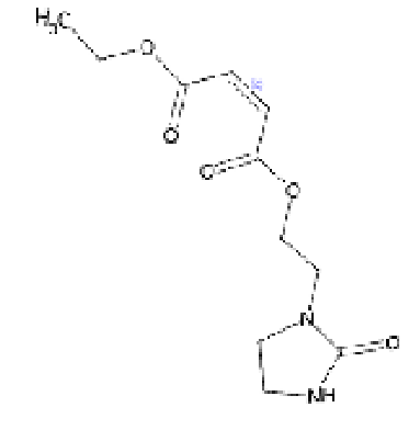 CCOC(=O)/C=C\C(=O)OCCN1CCNC1=O